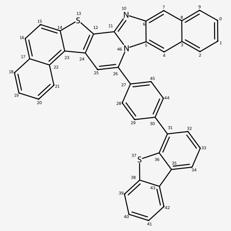 c1ccc2cc3c(cc2c1)nc1c2sc4ccc5ccccc5c4c2cc(-c2ccc(-c4cccc5c4sc4ccccc45)cc2)n31